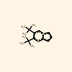 CC(C)(C)c1cn2cccc2nc1C(C)(C)C